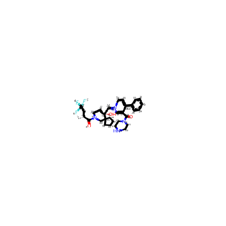 C[C@H](CC(F)(F)F)C(=O)N1CC[C@@](O)(CN2C=C(C(=O)N3CCNCC3)C(c3ccccc3)=CC2)C2(CCCC2)C1